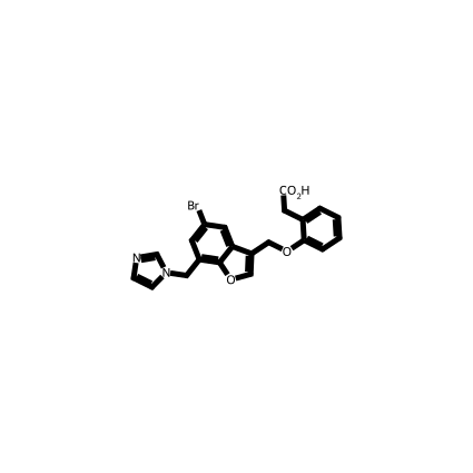 O=C(O)Cc1ccccc1OCc1coc2c(Cn3ccnc3)cc(Br)cc12